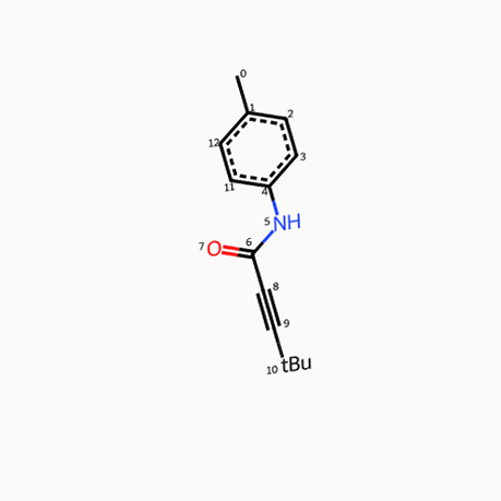 Cc1ccc(NC(=O)C#CC(C)(C)C)cc1